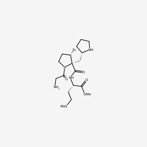 CC[C@H]1CCN(C(=O)CN)[C@]1(C[C@@H]1CCCN1)C(=O)N[C@@H](CCSC)C(=O)OC